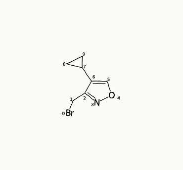 BrCc1nocc1C1CC1